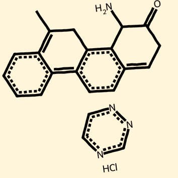 CC1=c2ccccc2=c2ccc3c(c2C1)C(N)C(=O)CC=3.Cl.c1cnncn1